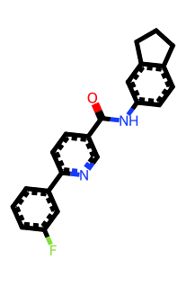 O=C(Nc1ccc2c(c1)CCC2)c1ccc(-c2cccc(F)c2)nc1